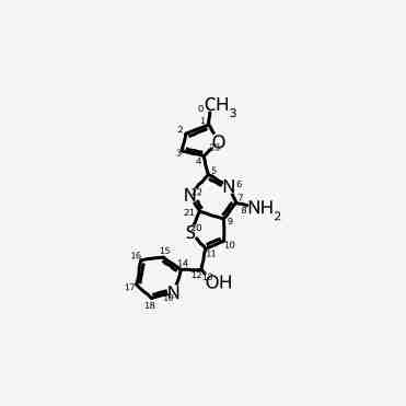 Cc1ccc(-c2nc(N)c3cc(C(O)c4ccccn4)sc3n2)o1